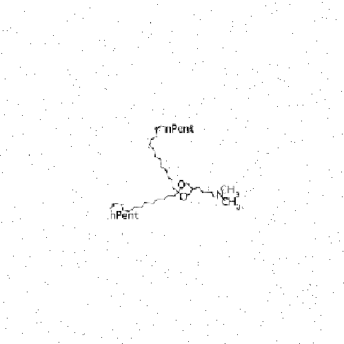 CCCCC/C=C\C/C=C\CCCCCCCCC1(CCCCCCCC/C=C\C/C=C\CCCCC)OCC(CCCCN(C)C)CO1